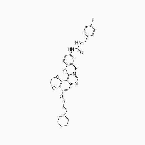 O=C(NCc1ccc(F)cc1)Nc1ccc(Oc2ncnc3cc(OCCCN4CCCCC4)c4c(c23)OCCO4)c(F)c1